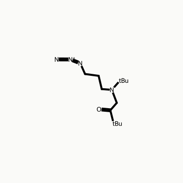 CC(C)(C)C(=O)CN(CCCN=[N+]=[N-])C(C)(C)C